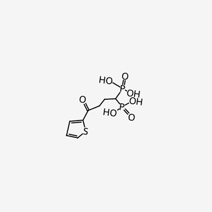 O=C(CCC(P(=O)(O)O)P(=O)(O)O)c1cccs1